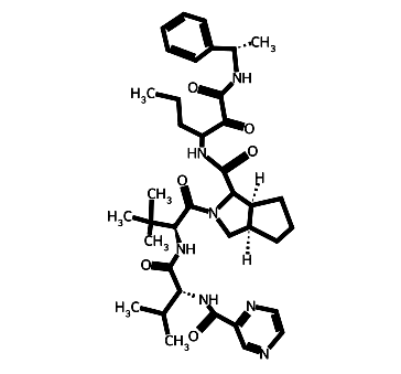 CCCC(NC(=O)C1[C@H]2CCC[C@H]2CN1C(=O)[C@@H](NC(=O)[C@H](NC(=O)c1cnccn1)C(C)C)C(C)(C)C)C(=O)C(=O)N[C@@H](C)c1ccccc1